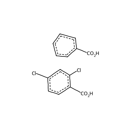 O=C(O)c1ccc(Cl)cc1Cl.O=C(O)c1ccccc1